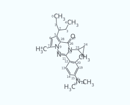 CCC(CC)c1cc(C)n2nc(-c3ccc(N(C)C)cc3C)n(C3CC3)c(=O)c12